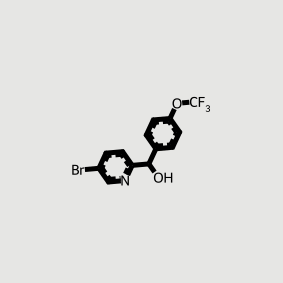 OC(c1ccc(OC(F)(F)F)cc1)c1ccc(Br)cn1